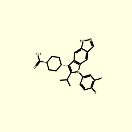 CC(C)c1c([C@H]2CC[C@H](C(=O)O)CC2)c2cc3[nH]ncc3cc2n1-c1ccc(F)c(F)c1